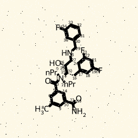 CCC[N+](CCC)(C(=O)c1cc(C)cc(C(N)=O)c1)[C@@H](Cc1cc(F)cc(F)c1)[C@H](O)CNCc1cccc(F)c1